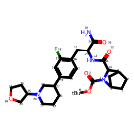 CC(C)(C)OC(=O)N1C2CCC(C2)C1C(=O)N[C@@H](Cc1ccc(C2CCCN(C3CCOC3)C2)cc1F)C(N)=O